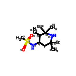 CCC1(C)CC(NS(C)(=O)=O)C(C)C(C)(CC)N1